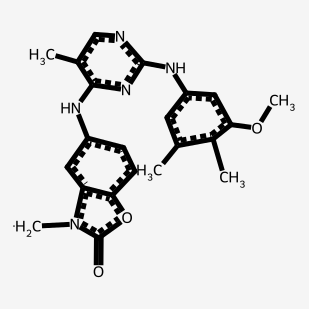 [CH2]n1c(=O)oc2ccc(Nc3nc(Nc4cc(C)c(C)c(OC)c4)ncc3C)cc21